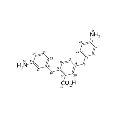 Nc1ccc(Cc2ccc(Cc3cccc(N)c3)c(C(=O)O)c2)cc1